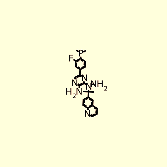 CP(C)c1ccc(-c2cnc(N)c(N(N)C(C)(C)c3ccc4ncccc4c3)n2)cc1F